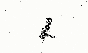 Cc1cccn2cc(-c3ccc(NC(=O)c4ncc(S(C)(=O)=O)cc4CNCCO)cc3)nc12